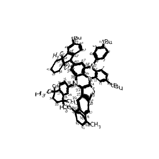 CC(C)(C)c1ccc(N2c3ccc(C(C)(C)C)cc3B3c4sc5cc6c(cc5c4N(c4ccc5c(c4)C(C)(C)CCC5(C)C)c4cc(C5c7ccc(C(C)(C)C)cc7C7(C)CCCCC57C)cc2c43)C2(C)CCC6(C)CC2)cc1